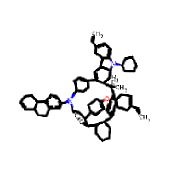 C=CC1=CCC(OC2=CCC(C3CC4CCC3C3CCCCC3C3=CCC(C=C3)C(C)(C)C3CC5C(C=C3C3=CCC(CC3)N4c3ccc4c(c3)CCC3C=CCCC43)C3CC(C=C)=CC=C3N5C3CCCCC3)CC2)CC1